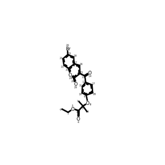 CCOC(=O)C(C)(C)Oc1ccc(C(=O)c2cc3cc(Br)ccc3oc2=O)cc1